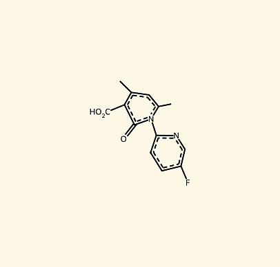 Cc1cc(C)n(-c2ccc(F)cn2)c(=O)c1C(=O)O